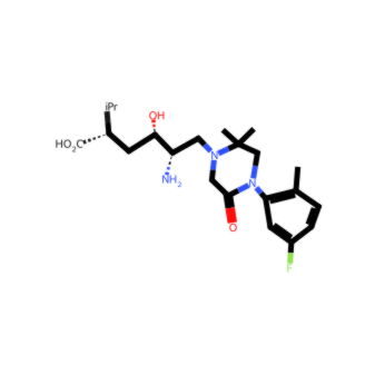 Cc1ccc(F)cc1N1CC(C)(C)N(C[C@H](N)[C@@H](O)C[C@H](C(=O)O)C(C)C)CC1=O